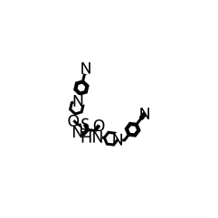 N#Cc1ccc(CN2CCC(NC(=O)c3cnc(OC4CCN(c5ccc(C#N)cc5)CC4)s3)CC2)cc1